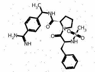 CC(NC(=O)[C@@H]1CCCN1C(=O)[C@H](Cc1ccccc1)NS(C)(=O)=O)c1ccc(C(=N)N)cc1